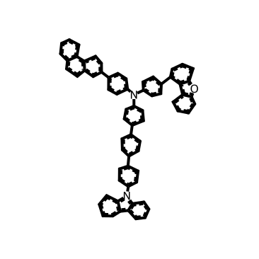 c1ccc2c(c1)ccc1cc(-c3ccc(N(c4ccc(-c5ccc(-c6ccc(-n7c8ccccc8c8ccccc87)cc6)cc5)cc4)c4ccc(-c5cccc6oc7ccccc7c56)cc4)cc3)ccc12